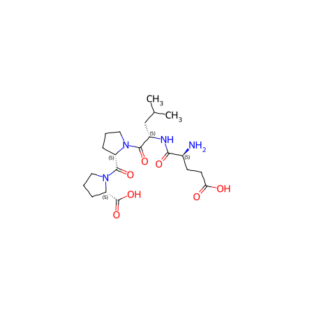 CC(C)C[C@H](NC(=O)[C@@H](N)CCC(=O)O)C(=O)N1CCC[C@H]1C(=O)N1CCC[C@H]1C(=O)O